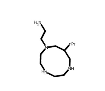 CCCC1CNCCNCCN(CCN)C1